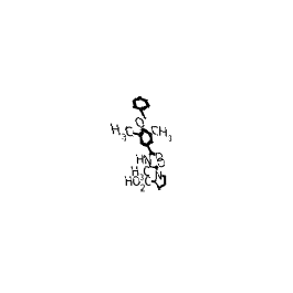 Cc1cc(C(=O)NC(C)C(=O)N2CCCC2C(=O)O)cc(C)c1OCc1ccccc1